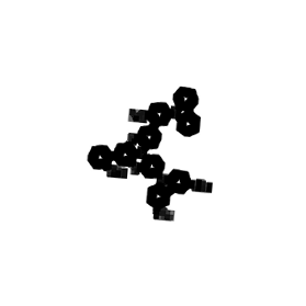 CC(C)(C)c1ccc2c(c1)c1cc(C(C)(C)C)ccc1n2-c1ccc2c(c1)Sc1cc(-c3ccccc3C(C)(C)C)cc3c1B2c1ccc(-c2cc(-n4c5ccccc5c5ccccc54)ccc2C#N)cc1S3